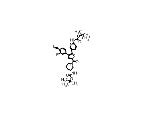 CC(C)(C)OC(=O)Nc1ccc(-c2sc(C(=O)N3CCC[C@@H](NC(=O)OC(C)(C)C)C3)cc2-c2ccc(C#N)c(F)c2)cn1